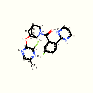 O=C(c1cc(F)ccc1-c1ncccn1)N1CC2CCC1C(Oc1ncc(C(F)(F)F)nc1F)C2